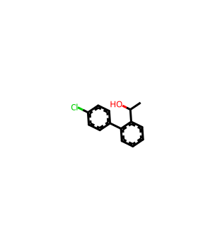 CC(O)c1ccccc1-c1ccc(Cl)cc1